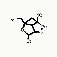 CCC1OC2(CO)CC3(N=O)NOC1C32